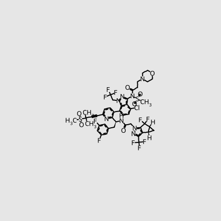 CC(C)(C#Cc1ccc(-c2ccc(Cl)c3c(N(C(=O)CCN4CCOCC4)S(C)(=O)=O)nn(CC(F)(F)F)c23)c([C@H](Cc2cc(F)cc(F)c2)NC(=O)Cn2nc(C(F)(F)F)c3c2C(F)(F)[C@@H]2C[C@H]32)n1)S(C)(=O)=O